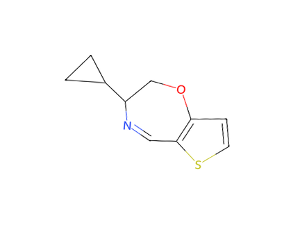 C1=NC(C2CC2)COc2ccsc21